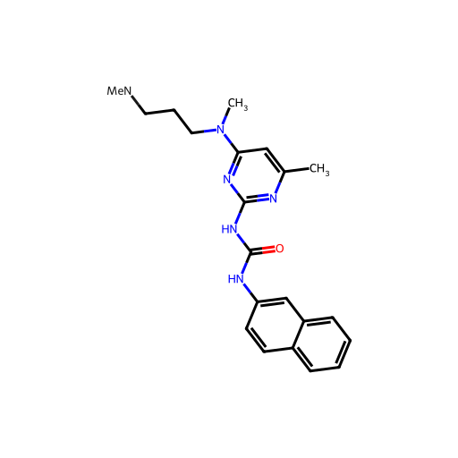 CNCCCN(C)c1cc(C)nc(NC(=O)Nc2ccc3ccccc3c2)n1